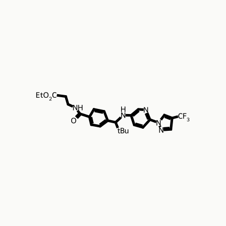 CCOC(=O)CCNC(=O)c1ccc(C(Nc2ccc(-n3cc(C(F)(F)F)cn3)nc2)C(C)(C)C)cc1